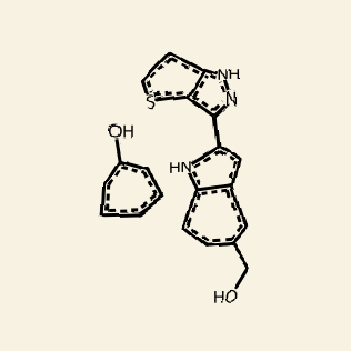 OCc1ccc2[nH]c(-c3n[nH]c4ccsc34)cc2c1.Oc1ccccc1